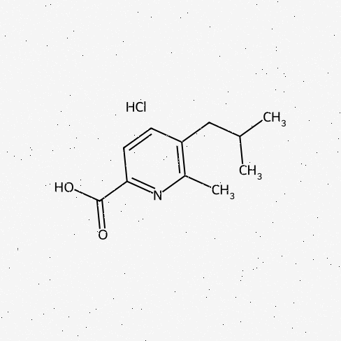 Cc1nc(C(=O)O)ccc1CC(C)C.Cl